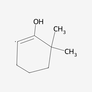 CC1(C)CCC[C]=C1O